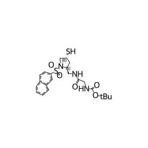 CC(C)(C)OC(=O)NCC(=O)NC[C@@H]1C[C@@H](S)CN1S(=O)(=O)c1ccc2ccccc2c1